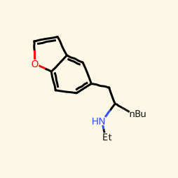 CCCCC(Cc1ccc2occc2c1)NCC